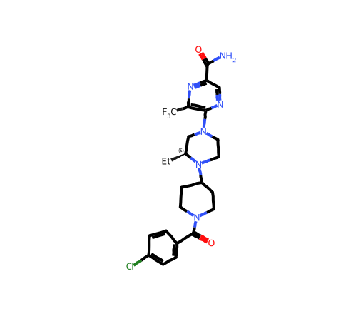 CC[C@H]1CN(c2ncc(C(N)=O)nc2C(F)(F)F)CCN1C1CCN(C(=O)c2ccc(Cl)cc2)CC1